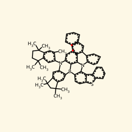 Cc1cc2c(cc1N1c3cc4c(cc3B3c5ccc6sc7ccccc7c6c5N(c5ccccc5-c5ccccc5)c5cc(-c6ccccc6)cc1c53)C(C)(C)CC4(C)C)C(C)(C)CCC2(C)C